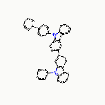 C1=C(c2ccc3c(c2)c2ccccc2n3-c2ccc(-c3ccccc3)cc2)CCc2c1n(-c1ccccc1)c1ccccc21